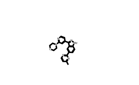 Cc1ccnc(-c2ccc3[nH]nc(-c4ccnc(N5CCOCC5)c4)c3c2)n1